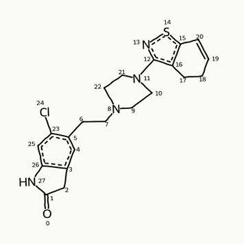 O=C1Cc2cc(CCN3CCN(c4nsc5c4CCC=C5)CC3)c(Cl)cc2N1